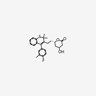 Cc1cc(C2=C(CC[C@H]3C[C@H](O)CC(=O)O3)C(C)(C)Sc3ccccc32)ccc1F